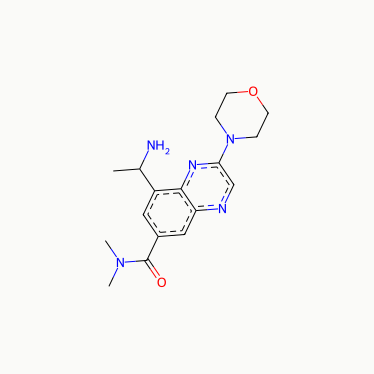 CC(N)c1cc(C(=O)N(C)C)cc2ncc(N3CCOCC3)nc12